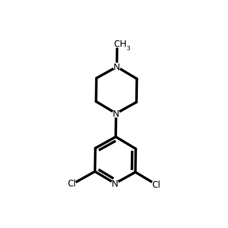 CN1CCN(c2cc(Cl)nc(Cl)c2)CC1